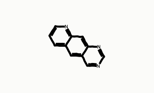 c1cnc2cc3ncncc3cc2c1